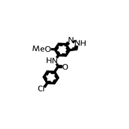 COc1cc2n[nH]cc2cc1NC(=O)c1ccc(Cl)cc1